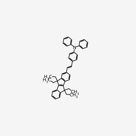 CCC1(CC)C2=C(c3ccccc31)C(CC)(CC)c1cc(/C=C/c3ccc(N(c4ccccc4)c4ccccc4)cc3)ccc12